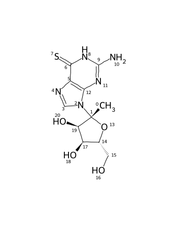 C[C@@]1(n2cnc3c(=S)[nH]c(N)nc32)O[C@H](CO)[C@@H](O)[C@H]1O